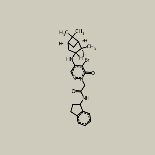 C[C@@H]1[C@H]2C[C@@H](C[C@H]1Nc1cnn(CC(=O)NC3CCc4ccccc43)c(=O)c1Br)C2(C)C